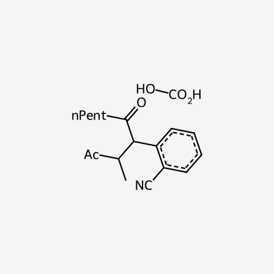 CCCCCC(=O)C(c1ccccc1C#N)C(C)C(C)=O.O=C(O)O